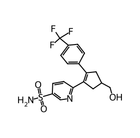 NS(=O)(=O)c1ccc(C2=C(c3ccc(C(F)(F)F)cc3)CC(CO)C2)nc1